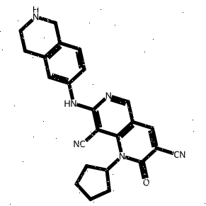 N#Cc1cc2cnc(Nc3ccc4c(c3)CCNC4)c(C#N)c2n(C2CCCC2)c1=O